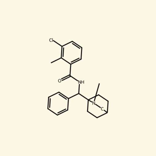 Cc1c(Cl)cccc1C(=O)NC(c1ccccc1)C12CCC(CC1)CN2C